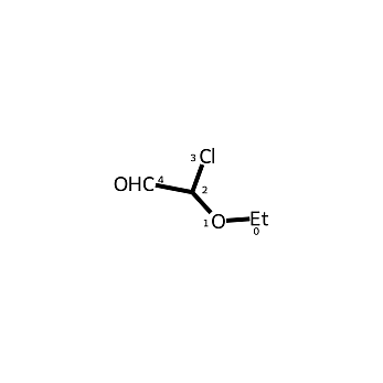 CCOC(Cl)C=O